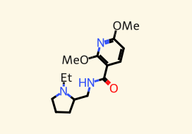 CCN1CCCC1CNC(=O)c1ccc(OC)nc1OC